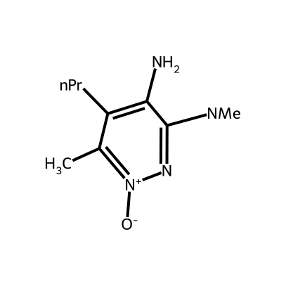 CCCc1c(N)c(NC)n[n+]([O-])c1C